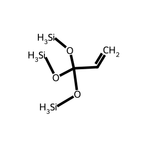 C=CC(O[SiH3])(O[SiH3])O[SiH3]